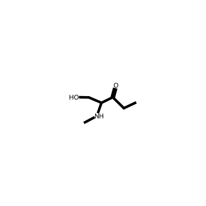 CCC(=O)C(CO)NC